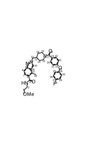 COCCNC(=O)c1ccc2nn(CC3CCN(C(=O)c4ccc(Oc5ccc(F)cc5)cc4)CC3)cc2c1C